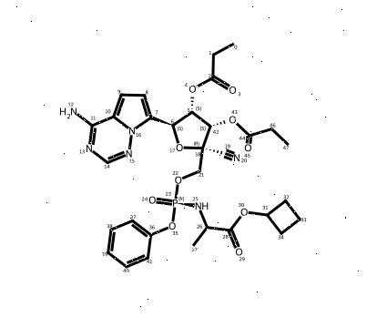 CCC(=O)O[C@H]1[C@H](c2ccc3c(N)ncnn23)O[C@](C#N)(CO[P@](=O)(NC(C)C(=O)OC2CCC2)Oc2ccccc2)[C@H]1OC(=O)CC